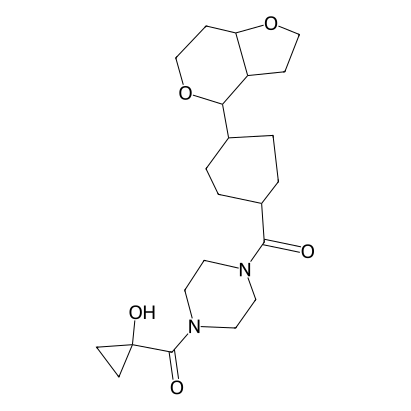 O=C(C1CCC(C2OCCC3OCCC32)CC1)N1CCN(C(=O)C2(O)CC2)CC1